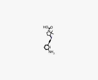 CC1(C)/C(=C/C#Cc2cccc(N)n2)CCN1C(=O)O